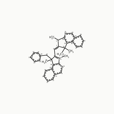 CN1C(=CC2=[N+](C)c3ncc4ccccc4c3C2(C)Cc2ccccc2)C(C)(C)c2c1ncc1ccccc21